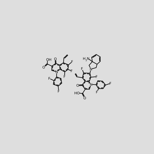 C=Cc1c(F)c(F)c(F)c2c1c(=O)c(C(=O)O)cn2-c1ccc(F)cc1F.C=Cc1c(F)c(N2CC3C=CC=CC3(N)C2)c(F)c2c1c(=O)c(C(=O)O)cn2-c1ccc(F)cc1F